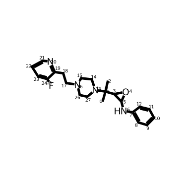 CC(C)(C1OC1Nc1ccccc1)N1CCN(CCc2ncccc2F)CC1